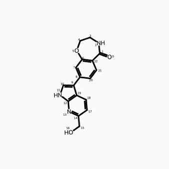 O=C1NCCOc2cc(-c3c[nH]c4nc(CO)ccc34)ccc21